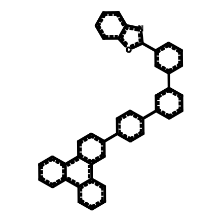 c1cc(-c2ccc(-c3ccc4c5ccccc5c5ccccc5c4c3)cc2)cc(-c2cccc(-c3nc4ccccc4o3)c2)c1